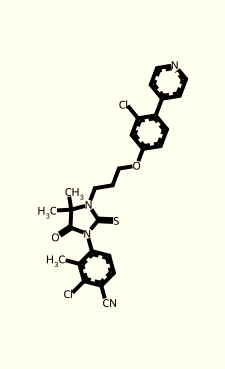 Cc1c(N2C(=O)C(C)(C)N(CCCOc3ccc(-c4ccncc4)c(Cl)c3)C2=S)ccc(C#N)c1Cl